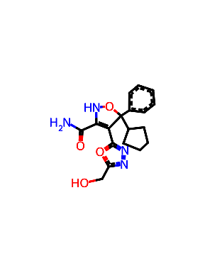 NC(=O)C1=C(c2nnc(CO)o2)C(c2ccccc2)(C2CCCC2)ON1